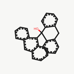 OC1(c2c3ccccc3cc3ccccc23)c2ccccc2Cc2ccccc21